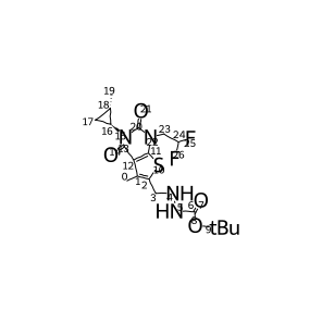 Cc1c(CNNC(=O)OC(C)(C)C)sc2c1c(=O)n([C@H]1C[C@@H]1C)c(=O)n2CC(F)F